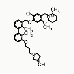 COc1cc(OCc2cccc(-c3cccc(OCCCN4CC[C@@H](O)C4)c3C)c2C)c(Cl)cc1CN1CCCC[C@H]1C